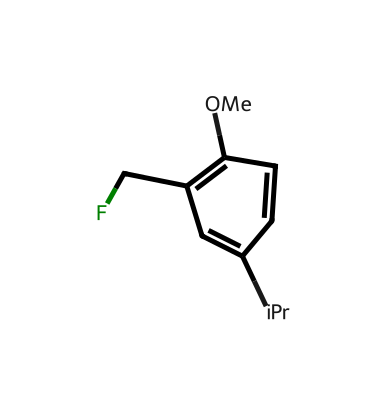 COc1ccc(C(C)C)cc1CF